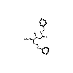 COC(CCOc1ccccc1)C(CC(=O)OCc1ccccc1)C(C)=O